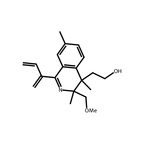 C=CC(=C)C1=NC(C)(COC)C(C)(CCO)c2ccc(C)cc21